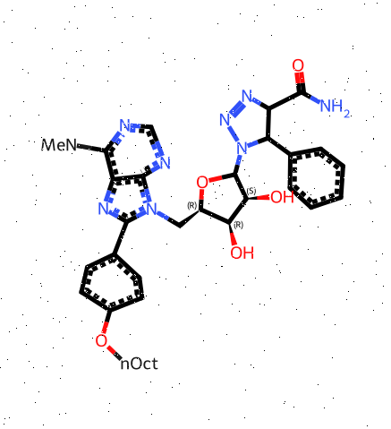 CCCCCCCCOc1ccc(-c2nc3c(NC)ncnc3n2C[C@H]2OC(N3N=NC(C(N)=O)C3c3ccccc3)[C@@H](O)[C@H]2O)cc1